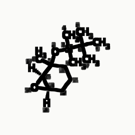 CC1(O[Si](C)(C)C(C)(C)C)CCC[C@H]2O[C@H]21